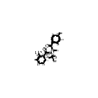 Cc1ccc(C(=O)N(C)N(C(=O)c2ccccc2Cl)C(C)(C)C)cc1